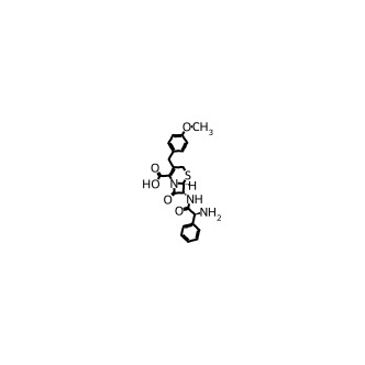 COc1ccc(CC2=C(C(=O)O)N3C(=O)[C@@H](NC(=O)[C@@H](N)c4ccccc4)[C@@H]3SC2)cc1